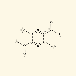 Cc1nc(C(=O)Cl)c(C)nc1C(=O)Cl